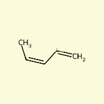 C=[C]/C=C\C